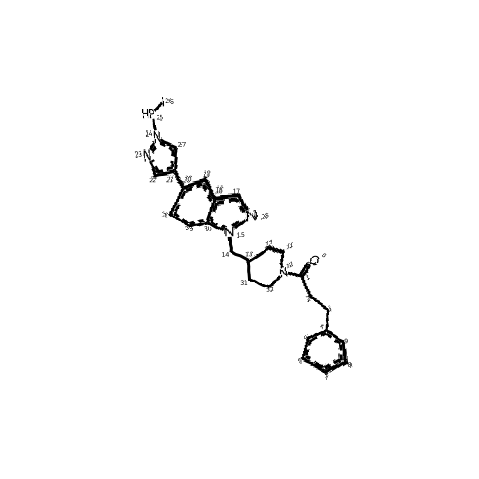 O=C(CCc1ccccc1)N1CCC(Cn2ncc3cc(-c4cnn(PI)c4)ccc32)CC1